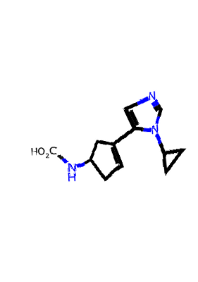 O=C(O)NC1CC=C(c2cncn2C2CC2)C1